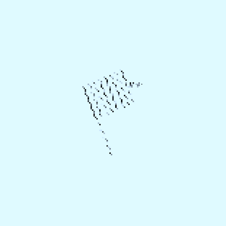 CCCCCCCCCC.CCCCCCCCCC.CCCCCCCCCC.CCCCCCCCCC.CCCCCCCCCC.CCCCCCCCCC.CCCCCCCCCC.CCCCCCCCCC.CCCCCCCCCC.[Mn+2]